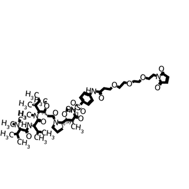 CC[C@H](C)C([C@@H](CC(=O)N1CCC[C@H]1[C@H](OC)[C@@H](C)C(=O)NS(=O)(=O)c1ccc(NC(=O)CCOCCOCCOCCN2C(=O)C=CC2=O)cc1)OC)N(C)C(=O)[C@@H](NC(=O)C(C(C)C)N(C)C)C(C)C